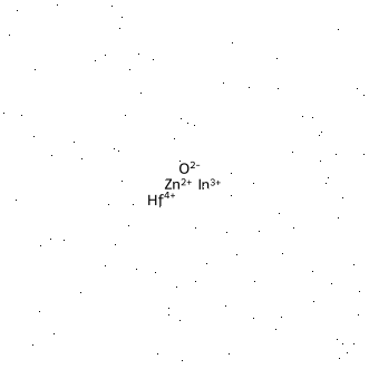 [Hf+4].[In+3].[O-2].[Zn+2]